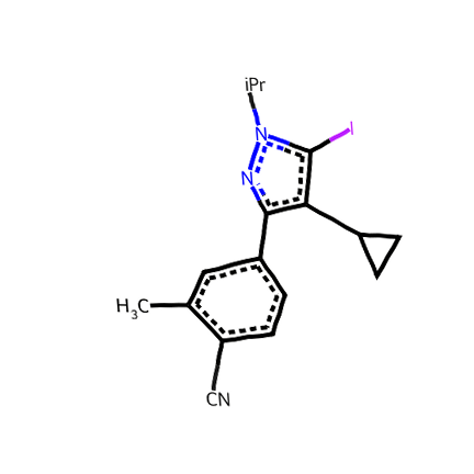 Cc1cc(-c2nn(C(C)C)c(I)c2C2CC2)ccc1C#N